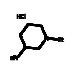 CCCC1CCCN(CC)C1.Cl